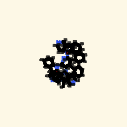 Cc1cc(-c2ccccc2-c2c(-c3ccccc3-c3ccccc3)c(-n3c4ccccc4c4cnccc43)nc(-n3c4ccccc4c4cnccc43)c2-n2c3ccccc3c3cnccc32)cc(C)n1